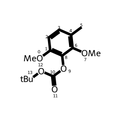 COc1ccc(C)c(OC)c1OC(=O)OC(C)(C)C